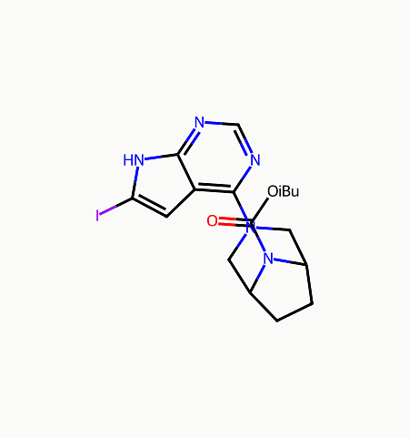 CC(C)COC(=O)N1C2CCC1CN(c1ncnc3[nH]c(I)cc13)C2